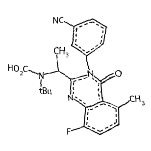 Cc1ccc(F)c2nc(C(C)N(C(=O)O)C(C)(C)C)n(-c3cccc(C#N)c3)c(=O)c12